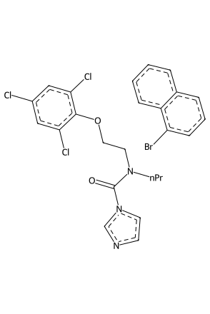 Brc1cccc2ccccc12.CCCN(CCOc1c(Cl)cc(Cl)cc1Cl)C(=O)n1ccnc1